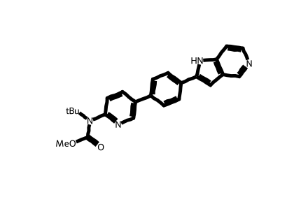 COC(=O)N(c1ccc(-c2ccc(-c3cc4cnccc4[nH]3)cc2)cn1)C(C)(C)C